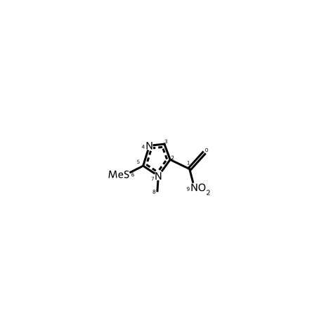 C=C(c1cnc(SC)n1C)[N+](=O)[O-]